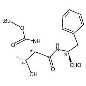 C[C@@H](O)[C@H](NC(=O)OC(C)(C)C)C(=O)N[C@H]([C]=O)Cc1ccccc1